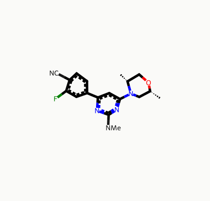 CNc1nc(-c2ccc(C#N)c(F)c2)cc(N2C[C@@H](C)OC[C@H]2C)n1